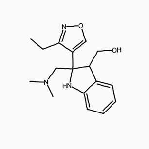 CCc1nocc1C1(CN(C)C)Nc2ccccc2C1CO